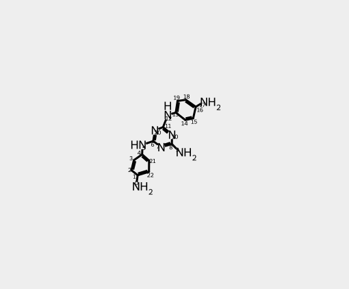 Nc1ccc(Nc2nc(N)nc(Nc3ccc(N)cc3)n2)cc1